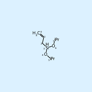 C=CC[SiH](OC(C)C)OC(C)C